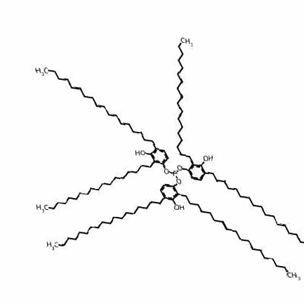 CCCCCCCCCCCCCCCCCCc1ccc(OP(Oc2ccc(CCCCCCCCCCCCCCCCCC)c(O)c2CCCCCCCCCCCCCCCCCC)Oc2ccc(CCCCCCCCCCCCCCCCCC)c(O)c2CCCCCCCCCCCCCCCCCC)c(CCCCCCCCCCCCCCCCCC)c1O